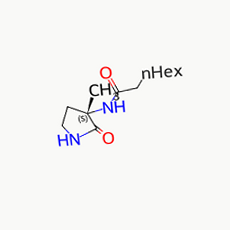 CCCCCCCC(=O)N[C@@]1(C)CCNC1=O